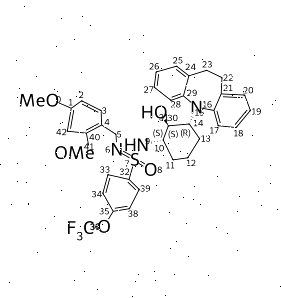 COc1ccc(CN=S(=O)(N[C@H]2CCC[C@@H](N3c4ccccc4CCc4ccccc43)[C@@H]2O)c2ccc(OC(F)(F)F)cc2)c(OC)c1